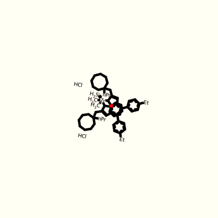 CCCC1(CC2=Cc3c(-c4ccc(CC)cc4)cccc3[CH]2[Zr]([CH3])([CH3])(=[SiH2])[CH]2C(CC3(CCC)CCCCCCC3)=Cc3c(-c4ccc(CC)cc4)cccc32)CCCCCCC1.Cl.Cl